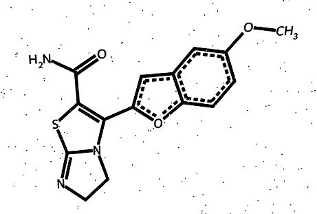 COc1ccc2oc(C3=C(C(N)=O)SC4=NCCN43)cc2c1